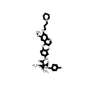 COc1cc2c(Oc3ccc(NC(=O)C4(C(=O)Nc5ccc(F)cc5)[C@H](C)[C@H]4C)cc3F)ccnc2cc1OCCCN1CCCCC1